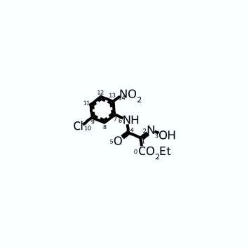 CCOC(=O)C(=NO)C(=O)Nc1cc(Cl)ccc1[N+](=O)[O-]